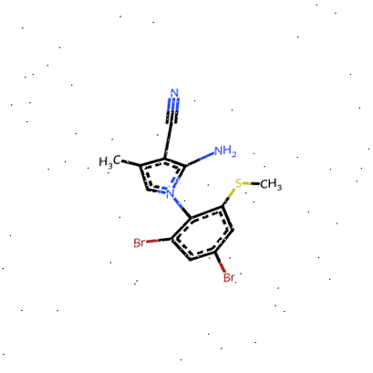 CSc1cc(Br)cc(Br)c1-n1cc(C)c(C#N)c1N